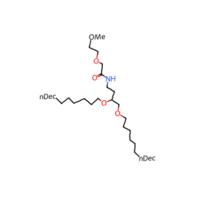 CCCCCCCCCCCCCCCCOCC(CCNC(=O)COCCOC)OCCCCCCCCCCCCCCCC